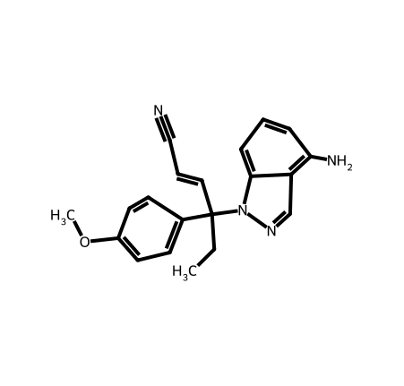 CCC(/C=C/C#N)(c1ccc(OC)cc1)n1ncc2c(N)cccc21